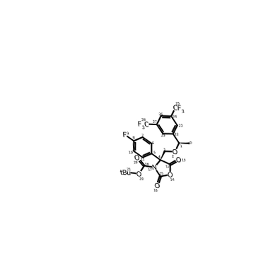 C[C@@H](OC[C@@]1(c2ccc(F)cc2)C(=O)OC(=O)N1C(=O)OC(C)(C)C)c1cc(C(F)(F)F)cc(C(F)(F)F)c1